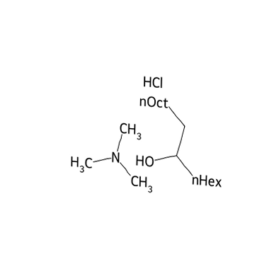 CCCCCCCCCC(O)CCCCCC.CN(C)C.Cl